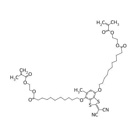 C=C(C)C(=O)OCCOC(=O)CCCCCCCCCCOc1cc(C)c(OCCCCCCCCCCC(=O)OCCOC(=O)C(=C)C)c2c1SC(=C(C#N)C#N)S2